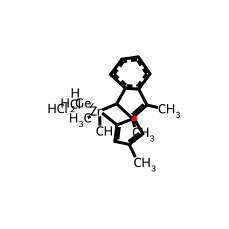 CC1=CC[C]([Zr]([CH3])([CH3])(=[GeH2])[CH]2C(C)=C(C)c3ccccc32)=C1.Cl.Cl